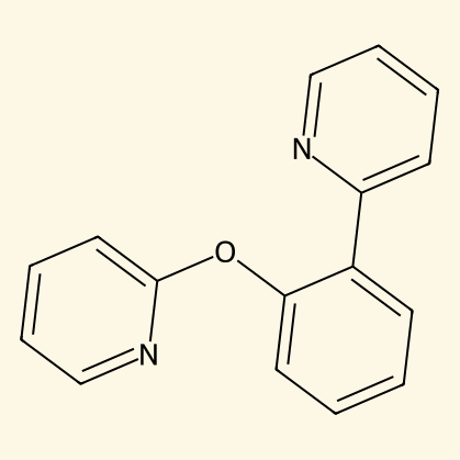 c1ccc(Oc2ccccc2-c2ccccn2)nc1